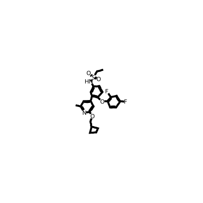 CCS(=O)(=O)Nc1ccc(Oc2ccc(F)cc2F)c(-c2cc(C)nc(OCC3CCC3)c2)c1